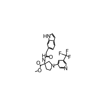 COC(=O)[C@@]1(NC(=O)Cc2ccc3cc[nH]c3c2)CCN(c2cncc(C(F)(F)F)c2)C1